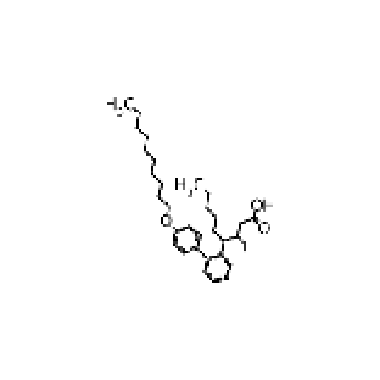 CCCCCCCCCCOc1ccc(-c2ccccc2C(CCCCC)C(F)CC(=O)O)cc1